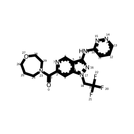 O=C(c1cc2c(cn1)c(Nc1cccnn1)nn2CC(F)(F)F)N1CCCOCC1